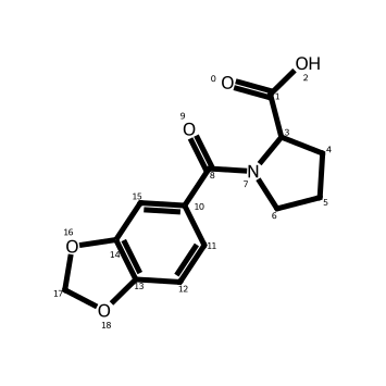 O=C(O)C1CCCN1C(=O)c1ccc2c(c1)OCO2